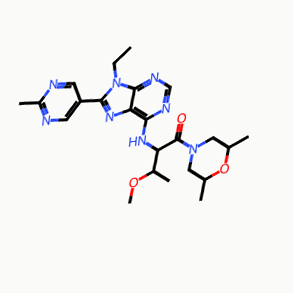 CCn1c(-c2cnc(C)nc2)nc2c(NC(C(=O)N3CC(C)OC(C)C3)C(C)OC)ncnc21